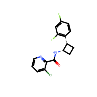 O=C(N[C@H]1CC[C@H]1c1ccc(F)cc1F)c1ncccc1Cl